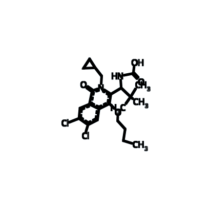 CCCCOc1c(C(NC(=O)O)C(C)(C)C)n(CC2CC2)c(=O)c2cc(Cl)c(Cl)cc12